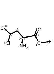 CCOC(=O)[C@@H](N)CC(Cl)Cl